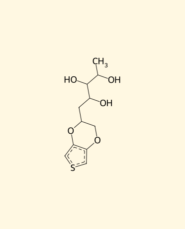 CC(O)C(O)C(O)CC1COc2cscc2O1